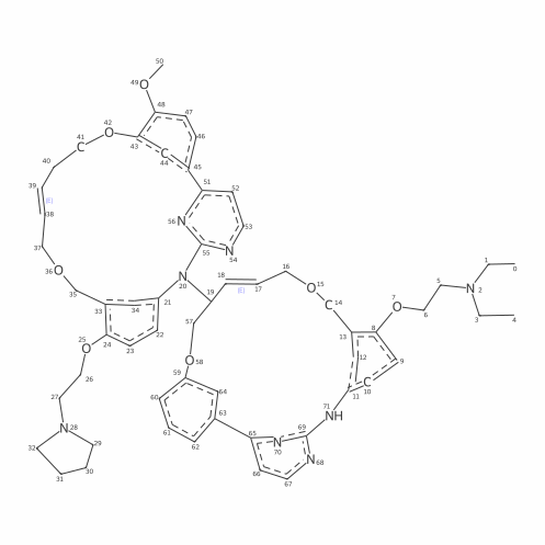 CCN(CC)CCOc1ccc2cc1COC/C=C/C(N1c3ccc(OCCN4CCCC4)c(c3)COC/C=C/CCOc3cc(ccc3OC)-c3ccnc1n3)COc1cccc(c1)-c1ccnc(n1)N2